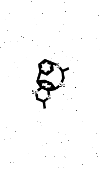 CC1C[Se]c2ccc(c3c2SC(C)C[Se]3)-c2ccc(cc2)S1